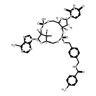 Cc1ccc(C(=O)NCc2ccc(CSP3(=O)OC[C@H]4O[C@@H](n5cnc6c(N)ncnc65)[C@H](OP(=O)(O)OC[C@H]5O[C@@H](n6ccc(=O)[nH]c6=O)[C@H](F)[C@@H]5O3)[C@@H]4F)cc2)cc1